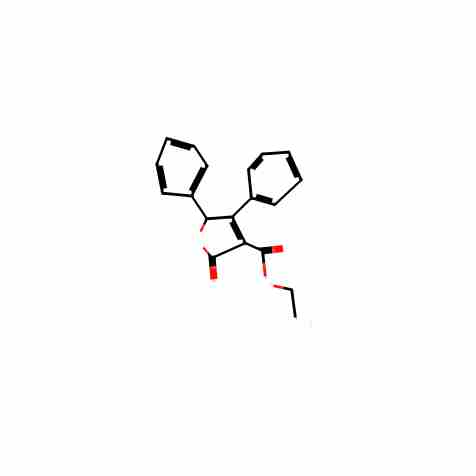 CCOC(=O)C1=C(c2ccccc2)C(c2ccccc2)OC1=O